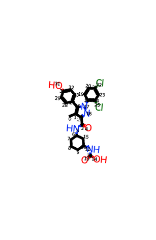 Cc1c(C(=O)NC2CCCC(NC(=O)O)C2)nn(-c2ccc(Cl)cc2Cl)c1-c1ccc(O)cc1